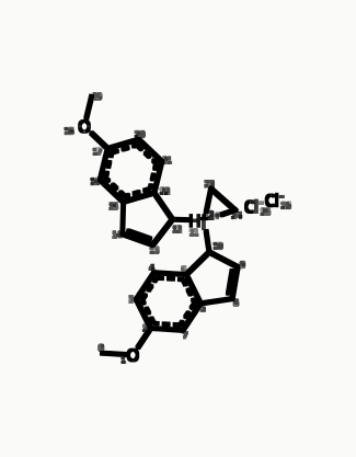 COc1ccc2c(c1)C=C[CH]2[Hf+2]1([CH]2C=Cc3cc(OC)ccc32)[CH2][CH2]1.[Cl-].[Cl-]